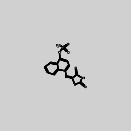 O=C1NC(=O)C(=Cc2ccc(OS(=O)(=O)C(F)(F)F)c3ccccc23)S1